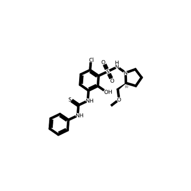 COC[C@@H]1CCCN1NS(=O)(=O)c1c(Cl)ccc(NC(=S)Nc2ccccc2)c1O